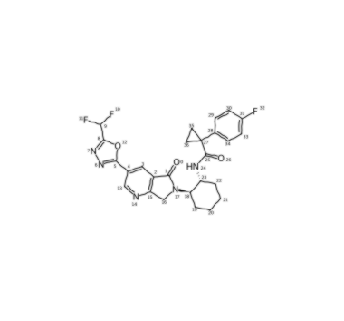 O=C1c2cc(-c3nnc(C(F)F)o3)cnc2CN1[C@@H]1CCCC[C@H]1NC(=O)C1(c2ccc(F)cc2)CC1